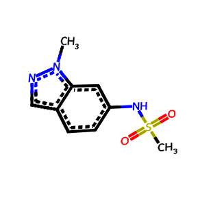 Cn1ncc2ccc(NS(C)(=O)=O)cc21